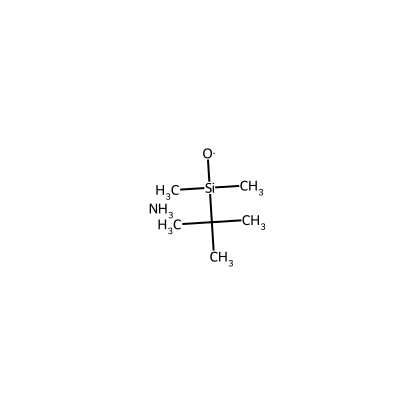 CC(C)(C)[Si](C)(C)[O].N